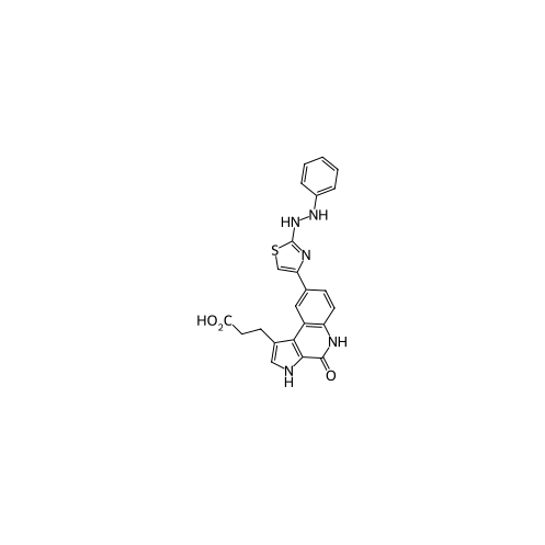 O=C(O)CCc1c[nH]c2c(=O)[nH]c3ccc(-c4csc(NNc5ccccc5)n4)cc3c12